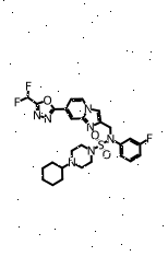 O=S(=O)(N1CCN(C2CCCCC2)CC1)N(Cc1cn2ccc(-c3nnc(C(F)F)o3)cc2n1)c1cccc(F)c1